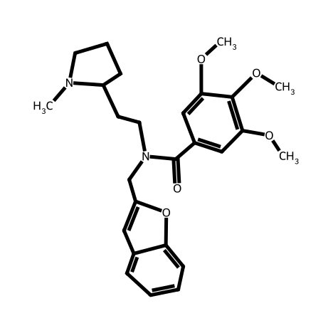 COc1cc(C(=O)N(CCC2CCCN2C)Cc2cc3ccccc3o2)cc(OC)c1OC